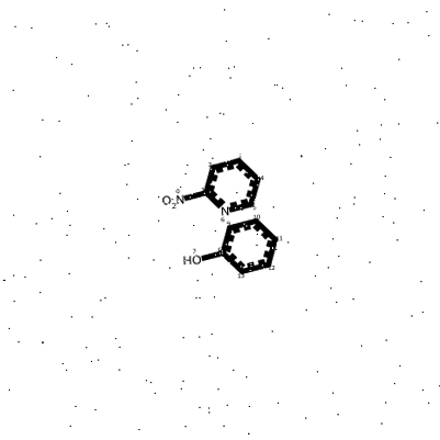 O=[N+]([O-])c1ccccn1.Oc1ccccc1